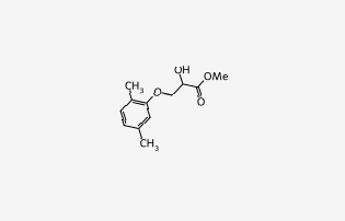 COC(=O)C(O)COc1cc(C)ccc1C